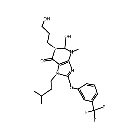 CC(C)CCn1c(Oc2cccc(C(F)(F)F)c2)nc2c1C(=O)N(CCCO)C(O)N2C